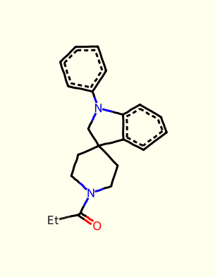 CCC(=O)N1CCC2(CC1)CN(c1ccccc1)c1ccccc12